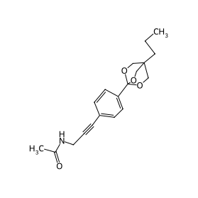 CCCC12COC(c3ccc(C#CCNC(C)=O)cc3)(OC1)OC2